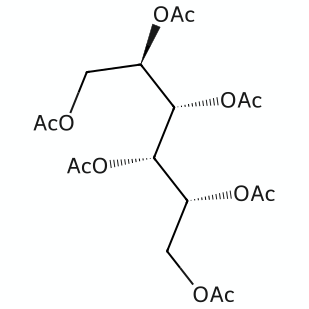 CC(=O)OC[C@@H](OC(C)=O)[C@H](OC(C)=O)[C@@H](OC(C)=O)[C@@H](COC(C)=O)OC(C)=O